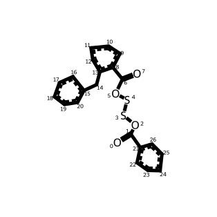 O=C(OSSOC(=O)c1ccccc1Cc1ccccc1)c1ccccc1